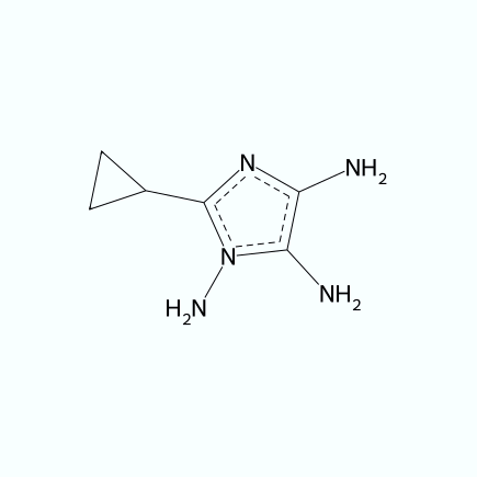 Nc1nc(C2CC2)n(N)c1N